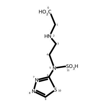 O=C(O)CNCCN(c1nncs1)S(=O)(=O)O